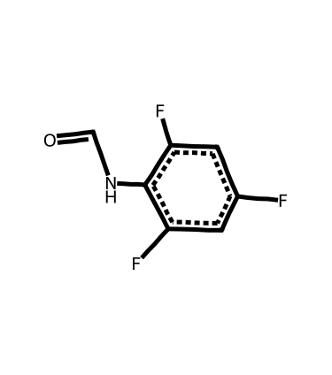 O=CNc1c(F)cc(F)cc1F